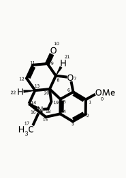 COc1ccc2c3c1O[C@H]1C(=O)C=C[C@H]4C(C2)N(C)CCC314